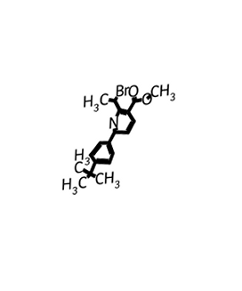 COC(=O)c1ccc(-c2ccc(C(C)(C)C)cc2)nc1C(C)Br